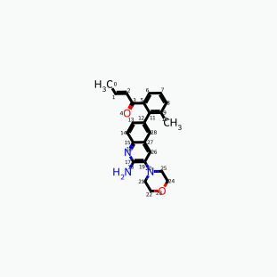 CC=CC(=O)c1cccc(C)c1-c1ccc2nc(N)c(N3CCOCC3)cc2c1